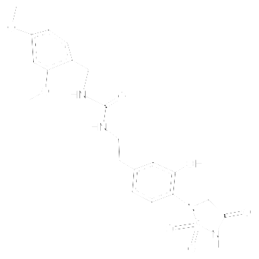 COc1ccc(CNC(=O)NCCc2ccc(N3CC(=O)NS3(=O)=O)c(O)c2)c(OC)c1